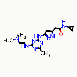 Cc1nc(NCCN(C)C)nc(Nc2cc(CC(=O)NC3CC3)[nH]n2)n1